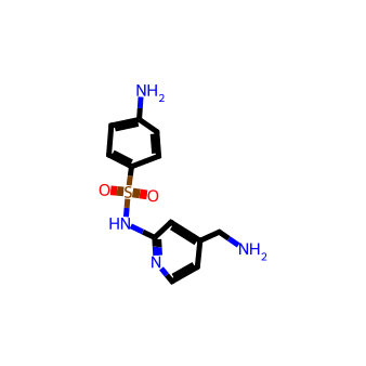 NCc1ccnc(NS(=O)(=O)c2ccc(N)cc2)c1